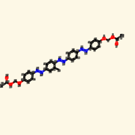 CCC(=O)OCOc1ccc(N=Nc2ccc(N=Nc3ccc(N=Nc4ccc(OCOC(=O)CC)cc4)cc3C)cc2)cc1